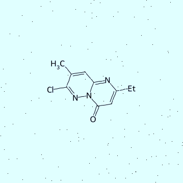 CCc1cc(=O)n2nc(Cl)c(C)cc2n1